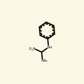 CCCCC(Nc1ccccc1)[N+](=O)[O-]